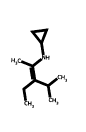 CC/C(=C(\C)NC1CC1)C(C)C